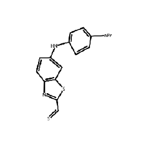 CCCc1ccc(Nc2ccc3nc(C=S)sc3c2)cc1